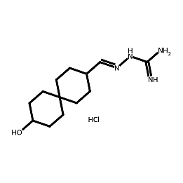 Cl.N=C(N)NN=CC1CCC2(CCC(O)CC2)CC1